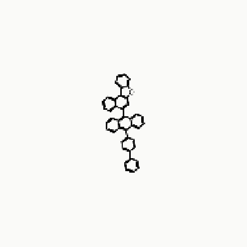 c1ccc(-c2ccc(-c3c4ccccc4c(-c4cc5oc6ccccc6c5c5ccccc45)c4ccccc34)cc2)cc1